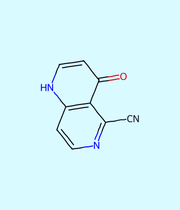 N#Cc1nccc2[nH]ccc(=O)c12